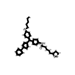 CCCCCN=C1C=CC(=C(c2ccc(NC(=O)CCCCC3CCSS3)cc2)c2ccc(-c3ccccc3)cc2)C=C1